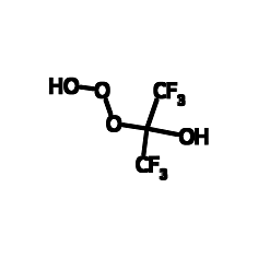 OOOC(O)(C(F)(F)F)C(F)(F)F